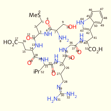 CSCCC(NC(=O)C(N)CO)C(=O)NC(CCC(=O)O)C(=O)NC(C(=O)NC(CCCN=C(N)N)C(=O)NCC(=O)NC(Cc1c[nH]c2ccccc12)C(=O)O)C(C)C